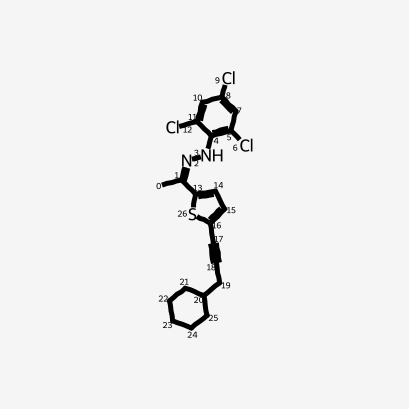 CC(=NNc1c(Cl)cc(Cl)cc1Cl)c1ccc(C#CCC2CCCCC2)s1